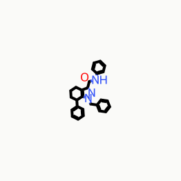 O=C(Nc1ccccc1)c1nn(Cc2ccccc2)c2c1CCCC2c1ccccc1